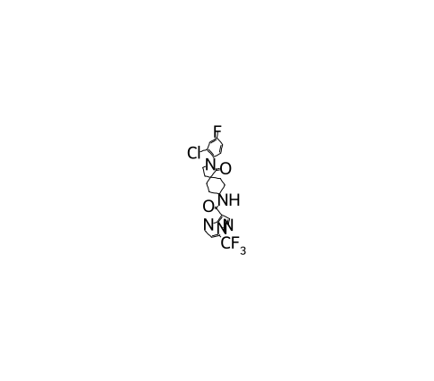 O=C(NC1CCC2(CC1)CCN(c1ccc(F)cc1Cl)C2=O)c1cnn2c(C(F)(F)F)ccnc12